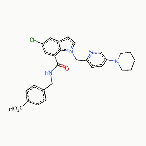 O=C(O)c1ccc(CNC(=O)c2cc(Cl)cc3ccn(Cc4ccc(N5CCCCC5)cn4)c23)cc1